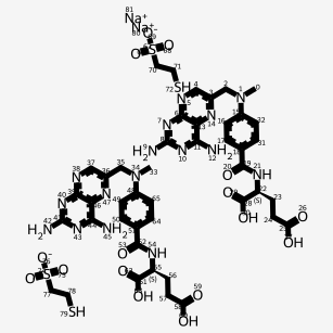 CN(Cc1cnc2nc(N)nc(N)c2n1)c1ccc(C(=O)N[C@@H](CCC(=O)O)C(=O)O)cc1.CN(Cc1cnc2nc(N)nc(N)c2n1)c1ccc(C(=O)N[C@@H](CCC(=O)O)C(=O)O)cc1.O=S(=O)([O-])CCS.O=S(=O)([O-])CCS.[Na+].[Na+]